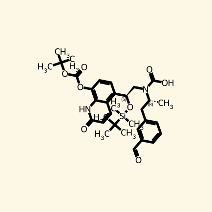 C[C@H](Cc1cccc(C=O)c1)N(C[C@@H](O[Si](C)(C)C(C)(C)C)c1ccc(OC(=O)OC(C)(C)C)c2[nH]c(=O)ccc12)C(=O)O